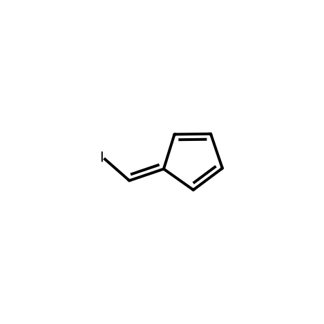 IC=C1C=CC=C1